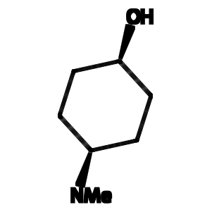 [CH2]N[C@H]1CC[C@@H](O)CC1